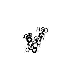 COc1ccc(CN2C(=O)c3ccccc3C2SCC(=O)Nc2ccc(C(=O)O)cn2)cc1OC